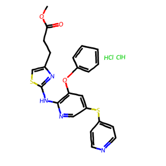 COC(=O)CCc1csc(Nc2ncc(Sc3ccncc3)cc2Oc2ccccc2)n1.Cl.Cl